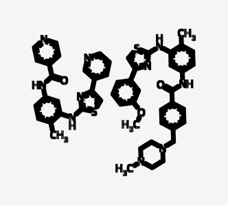 COc1cccc(-c2csc(Nc3cc(NC(=O)c4ccc(CN5CCN(C)CC5)cc4)ccc3C)n2)c1.Cc1ccc(NC(=O)c2ccncc2)cc1Nc1nc(-c2cccnc2)cs1